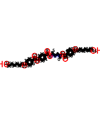 C/C(=C\C=C(/C)OC(=O)c1ccc(OC(=O)c2ccc(OCCCCCCO)cc2)cc1)OC(=O)c1ccc(OCCCCCCO)cc1